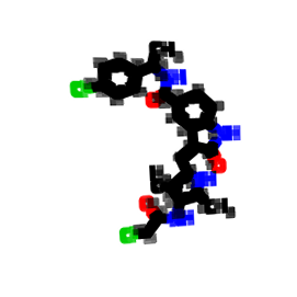 Cc1[nH]c(/C=C2\C(=O)Nc3ccc(C(=O)NC(C)c4ccc(Cl)cc4)cc32)c(C)c1NC(=O)CCl